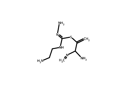 C=NC(N)C(=C)S/C(=N\N)NCCN